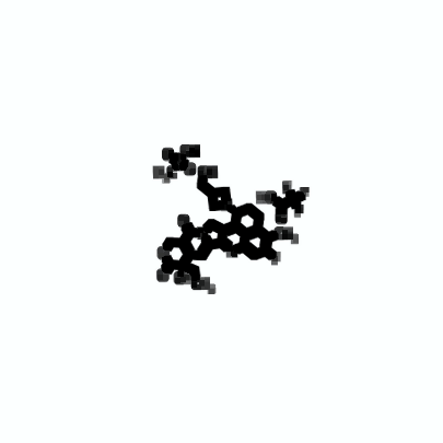 CC[C@@]1(O)C(=O)OCc2c1cc1n(c2=O)Cc2c-1nc1cc(F)c(C)c3c1c2[C@@H](N1CC(CO)C1)CC3.CS(=O)(=O)O.O=C(O)C(F)(F)F